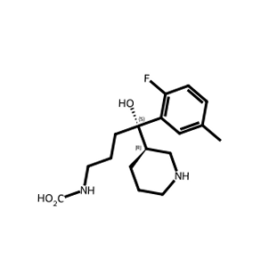 Cc1ccc(F)c([C@](O)(CCCNC(=O)O)[C@@H]2CCCNC2)c1